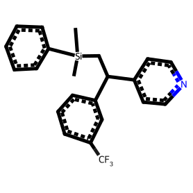 C[Si](C)(CC(c1ccncc1)c1cccc(C(F)(F)F)c1)c1ccccc1